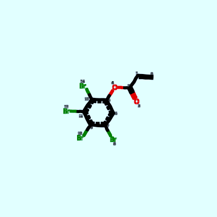 C=CC(=O)Oc1cc(Br)c(Br)c(Br)c1Br